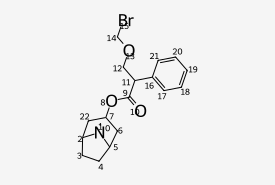 CN1C2CCC1CC(OC(=O)C(COCBr)c1ccccc1)C2